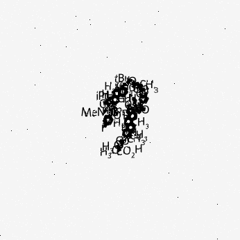 CNCCn1c([C@@]23CC[C@]4(C)[C@H](CC[C@@H]5[C@@](C)(CC[C@H](OC(=O)CC(C)(C)C(=O)Oc6cc(-n7c(=O)cc([C@@]89CC[C@]%10(C)[C@H](CC[C@@H]%11[C@@]%12(C)CC[C@H](OC(=O)CC(C)(C)C(=O)O)C(C)(C)[C@@H]%12CC[C@]%11%10C)C8=C(C(C)C)C(=O)C9)n7CCN)ccc6F)C(C)(C)C)CCC[C@]54C)C2=C(C(C)C)C(=O)C3)cc(=O)n1-c1ccc(F)cc1